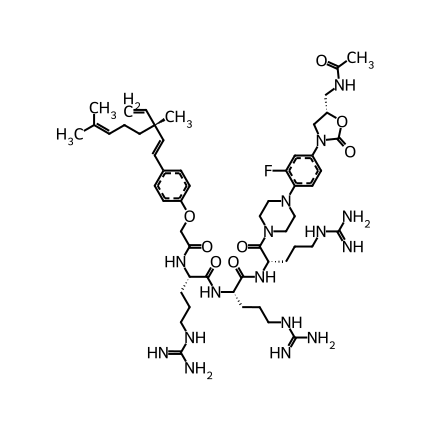 C=C[C@](C)(/C=C/c1ccc(OCC(=O)N[C@@H](CCCNC(=N)N)C(=O)N[C@@H](CCCNC(=N)N)C(=O)N[C@@H](CCCNC(=N)N)C(=O)N2CCN(c3ccc(N4C[C@H](CNC(C)=O)OC4=O)cc3F)CC2)cc1)CCC=C(C)C